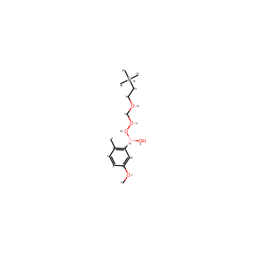 COc1ccc(C)c(B(O)OOCOCC[Si](C)(C)C)c1